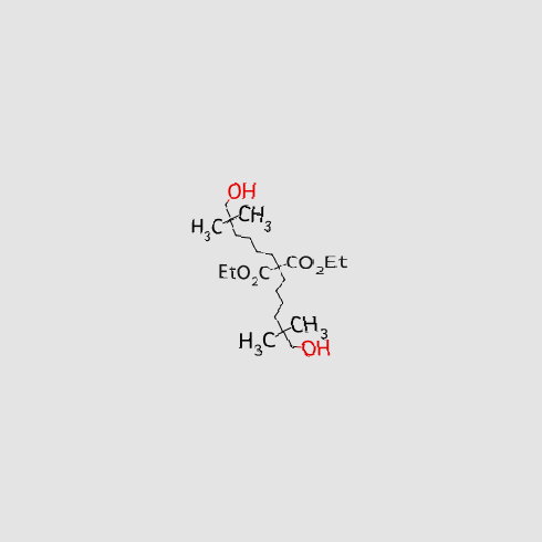 CCOC(=O)C(CCCCC(C)(C)CO)(CCCCC(C)(C)CO)C(=O)OCC